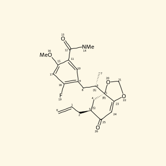 C=CC[C@H]1C[C@]2([C@@H](C)Cc3cc(C(=O)NC)c(OC)cc3F)OCOC2=CC1=O